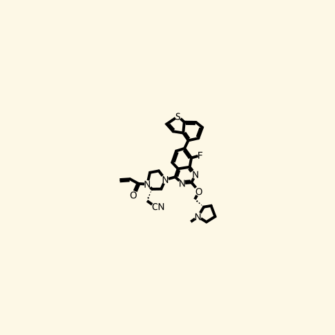 C=CC(=O)N1CCN(c2nc(OC[C@@H]3CCCN3C)nc3c(F)c(-c4cccc5sccc45)ccc23)C[C@@H]1CC#N